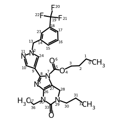 CCCCOC(=O)n1c(-c2cnn(Cc3cccc(C(F)(F)F)c3)c2)nc2c1CN(CCC)C(=O)N2CC